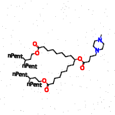 CCCCCC(CCCCC)CCOC(=O)CCCCCCCC(CCCCCCCC(=O)OCCC(CCCCC)CCCCC)OC(=O)CCCN1CCN(C)CC1